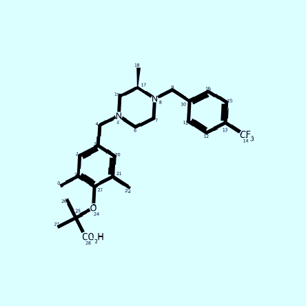 Cc1cc(CN2CCN(Cc3ccc(C(F)(F)F)cc3)[C@H](C)C2)cc(C)c1OC(C)(C)C(=O)O